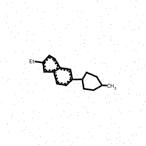 CCc1ccc2cc(C3CCC(C)CC3)ccc2c1